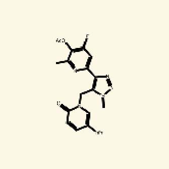 CCCc1ccc(=O)n(Cc2c(-c3cc(F)c(OC(C)=O)c(C)n3)nnn2C)c1